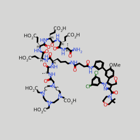 COc1cc2c(cc1-c1cccc(NC(=O)CCC(=O)NCCCC[C@@H](NC(=O)[C@@H](C)NC(=O)CN3CCN(CC(=O)O)CCN(CC(=O)O)CCN(CC(=O)O)CC3)C(=O)N[C@H](CCC(=O)O)C(=O)N[C@H](CCC(=O)O)C(=O)N[C@H](CCC(=O)O)C(=O)N[C@H](CCC(=O)O)C(=O)N[C@H](C)C(N)=O)c1)-c1c(c(C(=O)N3CCOCC3(C)C)nn1-c1cc(Cl)cc(Cl)c1)CO2